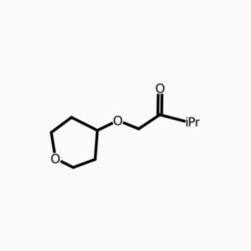 CC(C)C(=O)COC1CCOCC1